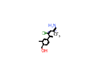 C=C(/C(Cl)=C\C(=C/N)C(F)(F)F)c1ccc(CO)c(C)c1